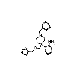 Nc1ccccc1C1(COCc2cccs2)CCN(Cc2ccccc2)CC1